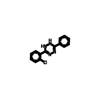 Clc1ccccc1C1=NN=C(c2ccccc2)NN1